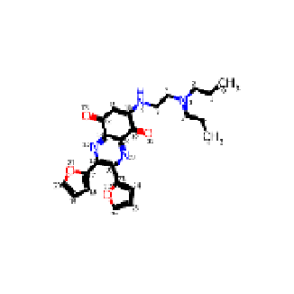 CCCN(CCC)CCNC1=CC(=O)c2nc(-c3ccco3)c(-c3ccco3)nc2C1=O